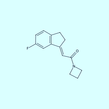 O=C(/C=C1\CCc2ccc(F)cc21)N1CCC1